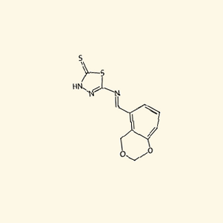 S=c1[nH]nc(N=Cc2cccc3c2COCO3)s1